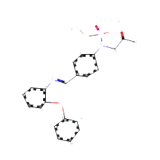 CCCSP(=O)(O)N(CC(=O)CC)c1ccc(C=Nc2ccccc2Oc2ccccc2)cc1